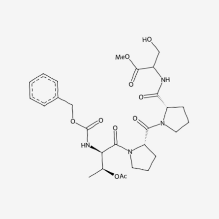 COC(=O)C(CO)NC(=O)[C@@H]1CCCN1C(=O)[C@@H]1CCCN1C(=O)[C@H](NC(=O)OCc1ccccc1)[C@H](C)OC(C)=O